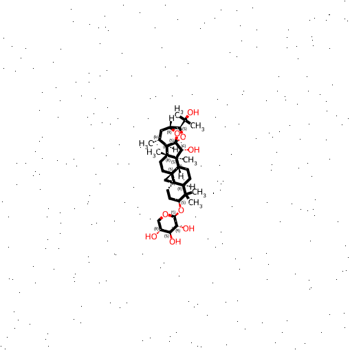 C[C@@H]1C[C@H]2O[C@@]3(O[C@@H]2C(C)(C)O)[C@H](O)[C@@]2(C)[C@@H]4CC[C@H]5C(C)(C)[C@@H](O[C@@H]6OC[C@@H](O)[C@H](O)[C@H]6O)CC[C@@]56C[C@@]46CC[C@]2(C)[C@@H]13